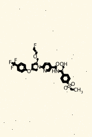 CCS(=O)(=O)c1ccc([C@H](CO)NC(=O)c2ccc(N3C[C@H](Oc4ccc(C(F)(F)F)cc4)C[C@H]3COCCF)nc2)cc1